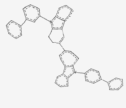 C1=C(c2ccc3c(c2)c2ccccc2n3-c2ccc(-c3ccccc3)cc2)CCc2c1c1ccccc1n2-c1cccc(-c2ccccc2)c1